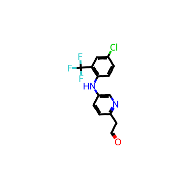 O=CCc1ccc(Nc2ccc(Cl)cc2C(F)(F)F)cn1